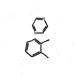 Cc1ccccc1C.c1cnccn1